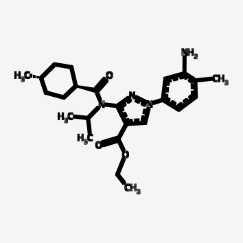 CCOC(=O)c1cn(-c2ccc(C)c(N)c2)nc1N(C(=O)[C@H]1CC[C@H](C)CC1)C(C)C